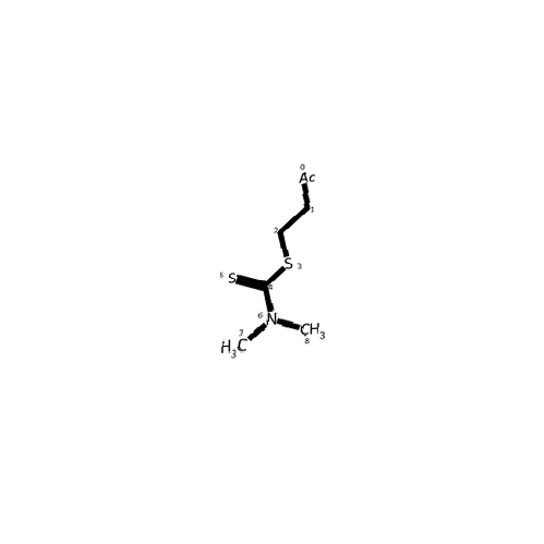 CC(=O)CCSC(=S)N(C)C